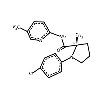 C[C@@]1(C(=O)Nc2ccc(C(F)(F)F)cn2)CCCN1c1ccc(Cl)cc1